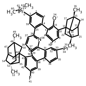 CC(C)c1ccc(-c2cc(F)cc(C34CC5C[C@@](C)(C3)C[C@](C)(C5)C4)c2[O-])c(-c2cccc(-c3cc(C(C)C)ccc3-c3cc(F)cc(C45CC6C[C@@](C)(C4)C[C@](C)(C6)C5)c3[O-])n2)c1.[CH3][Zr+2][CH3]